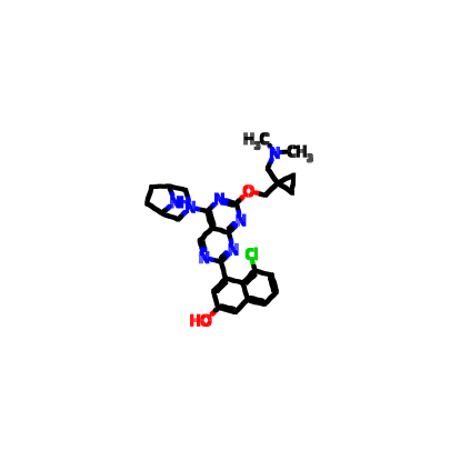 CN(C)CC1(COc2nc(N3CC4CCC(C3)N4)c3cnc(-c4cc(O)cc5cccc(Cl)c45)nc3n2)CC1